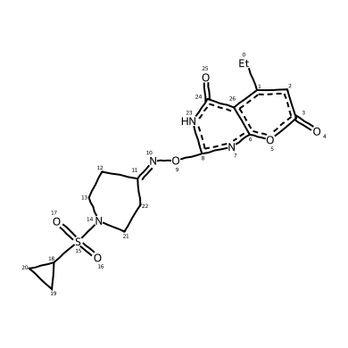 CCc1cc(=O)oc2nc(ON=C3CCN(S(=O)(=O)C4CC4)CC3)[nH]c(=O)c12